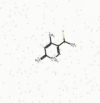 C=C(/C=C(C)\C(=C/C)C(C)F)C(C)C